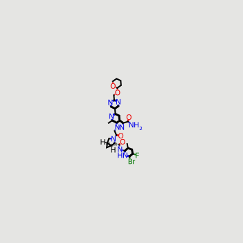 Cc1cc(F)c(Br)nc1NC(=O)[C@@H]1[C@@H]2C[C@@H]2CN1C(=O)Cn1nc(C(N)=O)c2cc(-c3cnc(COC4CCCCO4)nc3)nc(C)c21